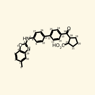 Cc1ccc2oc(Nc3ccc(-c4ccc(C(=O)C5CCCC5C(=O)O)cc4)cc3)nc2c1